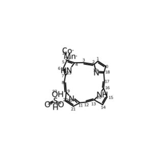 C1=Cc2cc3ccc(cc4nc(cc5ccc(cc1n2)[nH]5)C=C4)[nH]3.O=[SH](=O)O.[Co].[Mn]